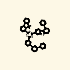 CC1(C)c2ccccc2-c2cccc(-c3nc(-c4cccc(-c5cccc(-c6ccccc6)c5)c4)nc(-c4ccc5c(c4)oc4cccc(-c6ccccc6)c45)n3)c21